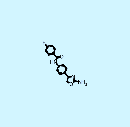 NC1=NC(c2ccc(NC(=O)c3ccc(F)cc3)cc2)CO1